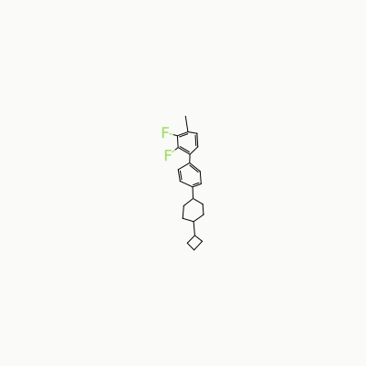 Cc1ccc(-c2ccc(C3CCC(C4CCC4)CC3)cc2)c(F)c1F